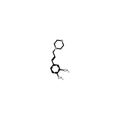 Cc1ccc(C=CCN2CC[N]CC2)cc1C